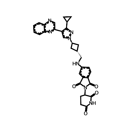 O=C1CCC(N2C(=O)c3ccc(NC[C@H]4C[C@H](n5cc(-c6cnc7ccccc7n6)c(C6CC6)n5)C4)cc3C2=O)C(=O)N1